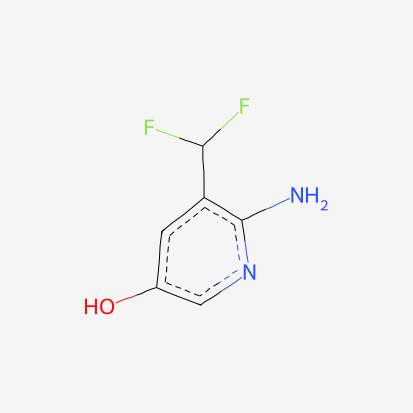 Nc1ncc(O)cc1C(F)F